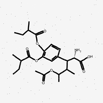 CCC(C)C(=O)Oc1ccc(C(C(C)C(C)OC(C)=O)[C@H](N)C(=O)O)cc1OC(=O)C(C)CC